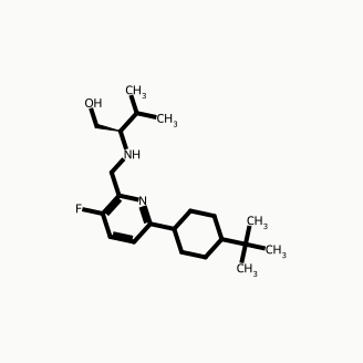 CC(C)[C@H](CO)NCc1nc(C2CCC(C(C)(C)C)CC2)ccc1F